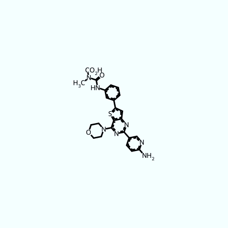 CN(C(=O)O)C(=O)Nc1cccc(-c2cc3nc(-c4ccc(N)nc4)nc(N4CCOCC4)c3s2)c1